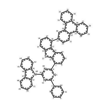 c1ccc(-c2nc(-c3cccc4c3sc3cccc(-c5ccc6c7ccccc7c7ccccc7c6c5)c34)nc(-n3c4ccccc4c4ccccc43)n2)cc1